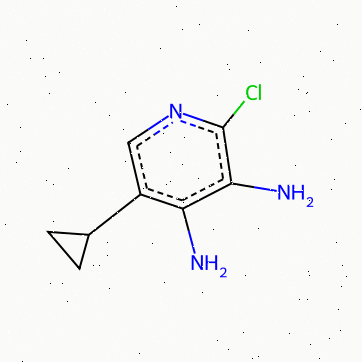 Nc1c(C2CC2)cnc(Cl)c1N